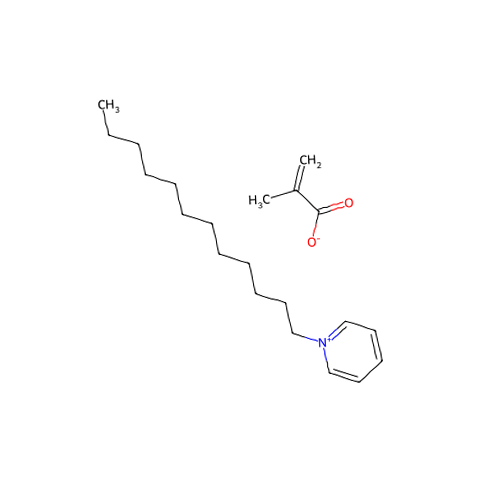 C=C(C)C(=O)[O-].CCCCCCCCCCCC[n+]1ccccc1